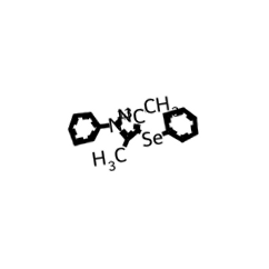 Cc1c([Se]c2ccccc2)[13c](C)nn1-c1ccccc1